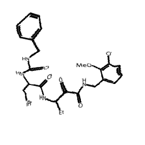 CCC(NC(=O)C(CC(C)C)NC(=O)NCc1ccccc1)C(=O)C(=O)NCc1cccc(Cl)c1OC